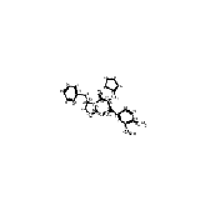 COc1cc(C(=O)[C@@H](OC2CCCC2)C(=O)N2C(=O)OC[C@H]2Cc2ccccc2)ccc1C